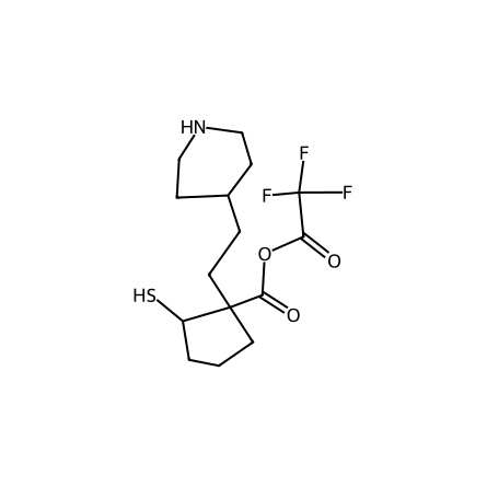 O=C(OC(=O)C1(CCC2CCNCC2)CCCC1S)C(F)(F)F